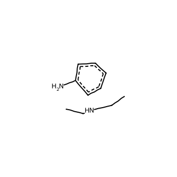 CCNCC.Nc1ccccc1